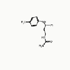 CC(C)C(CCNC(N)=O)Nc1ccc(C(F)(F)F)cc1